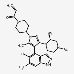 C=CC(=O)N1CCC(n2nc(N3CCN(C(C)=O)C[C@@H]3C(C)C)c(-c3c(Cl)c(C)cc4[nH]ncc34)c2C)CC1